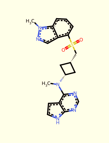 Cn1ncc2c(S(=O)(=O)C[C@H]3C[C@@H](N(C)c4ncnc5[nH]ccc45)C3)cccc21